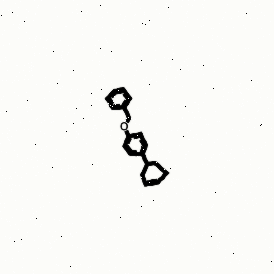 C1=CCC(c2ccc(OCc3ccccc3)cc2)CC1